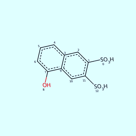 O=S(=O)(O)c1cc2cccc(O)c2cc1S(=O)(=O)O